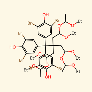 CCOC(C)OC(CC(CC(OCC)OC(C)OCC)(CC(OCC)OC(C)OCC)C(c1cc(Br)c(O)c(Br)c1)(c1cc(Br)c(O)c(Br)c1)c1cc(Br)c(O)c(Br)c1)OCC